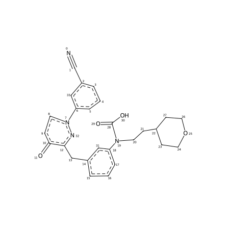 N#Cc1cccc(-n2ccc(=O)c(Cc3cccc(N(CCC4CCOCC4)C(=O)O)c3)n2)c1